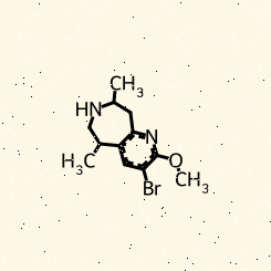 COc1nc2c(cc1Br)C(C)CNC(C)C2